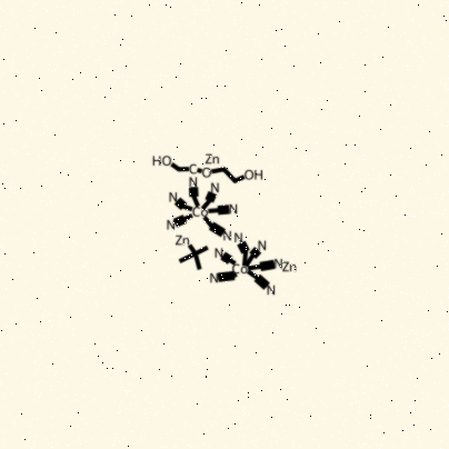 C[C](C)(C)[Zn].N#[C][Co]([C]#N)([C]#N)([C]#N)([C]#N)[C]#N.N#[C][Co]([C]#N)([C]#N)([C]#N)([C]#N)[C]#N.OCCOCCO.[Zn].[Zn]